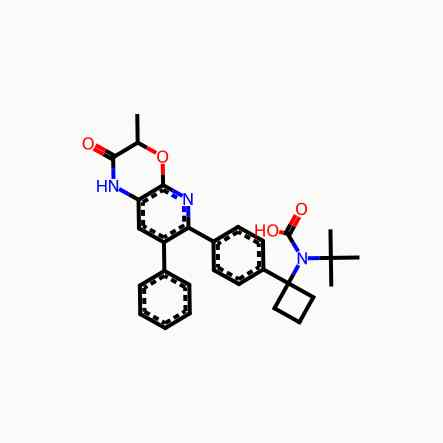 CC1Oc2nc(-c3ccc(C4(N(C(=O)O)C(C)(C)C)CCC4)cc3)c(-c3ccccc3)cc2NC1=O